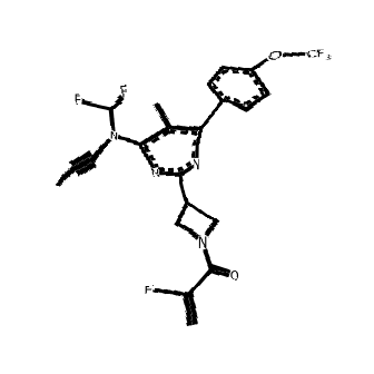 C=C(F)C(=O)N1CC(c2nc(-c3ccc(OC(F)(F)F)cc3)c(C)c(N(C#CC)C(F)F)n2)C1